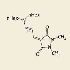 CCCCCCN(/C=C/C=C1C(=O)N(C)N(C)C1=O)CCCCCC